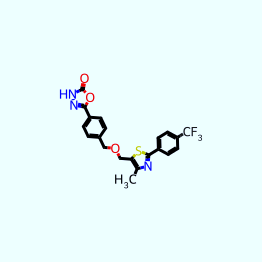 Cc1nc(-c2ccc(C(F)(F)F)cc2)sc1COCc1ccc(-c2n[nH]c(=O)o2)cc1